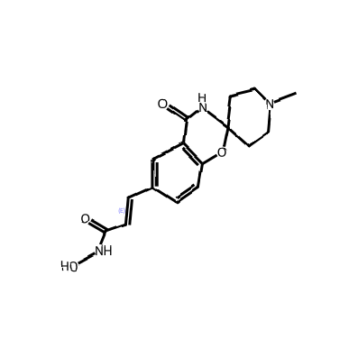 CN1CCC2(CC1)NC(=O)c1cc(/C=C/C(=O)NO)ccc1O2